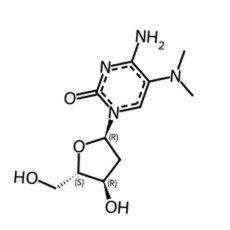 CN(C)c1cn([C@H]2C[C@@H](O)[C@H](CO)O2)c(=O)nc1N